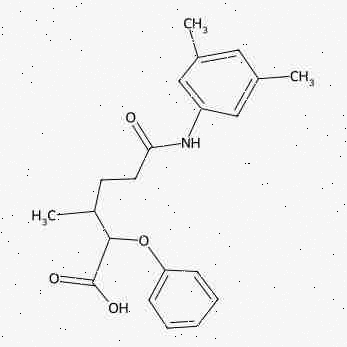 Cc1cc(C)cc(NC(=O)CCC(C)C(Oc2ccccc2)C(=O)O)c1